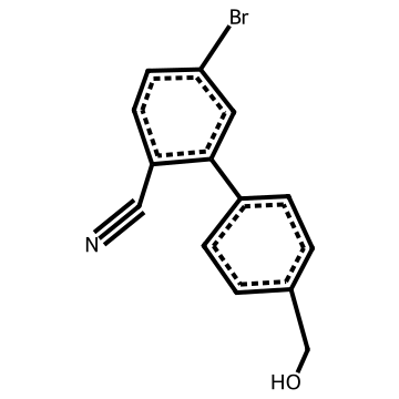 N#Cc1ccc(Br)cc1-c1ccc(CO)cc1